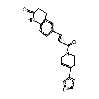 O=C1CCc2cc(/C=C/C(=O)N3CC=C(c4ccoc4)CC3)cnc2N1